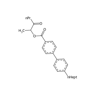 CCCCCCCc1ccc(-c2ccc(C(=O)OC(C)C(=O)CCC)cc2)cc1